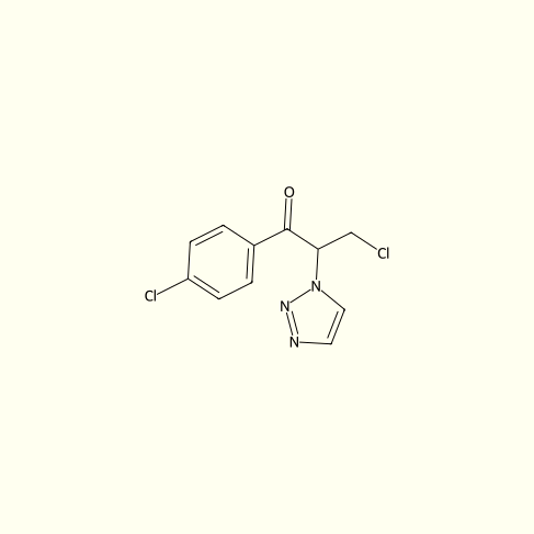 O=C(c1ccc(Cl)cc1)C(CCl)n1ccnn1